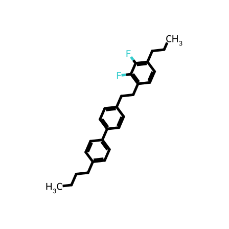 CCCCc1ccc(-c2ccc(CCc3ccc(CCC)c(F)c3F)cc2)cc1